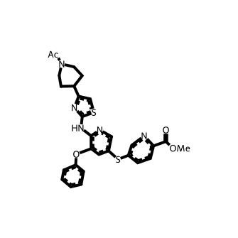 COC(=O)c1ccc(Sc2cnc(Nc3nc(C4CCN(C(C)=O)CC4)cs3)c(Oc3ccccc3)c2)cn1